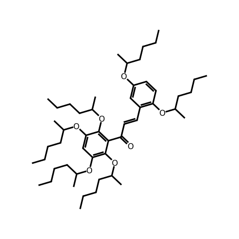 CCCCC(C)Oc1ccc(OC(C)CCCC)c(C=CC(=O)c2c(OC(C)CCCC)c(OC(C)CCCC)cc(OC(C)CCCC)c2OC(C)CCCC)c1